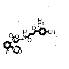 Cc1ccc(C(=O)CCC(=O)NC[C@H]2CN(c3cccc(F)c3N3CCOCC3)C(=O)O2)c(C)c1